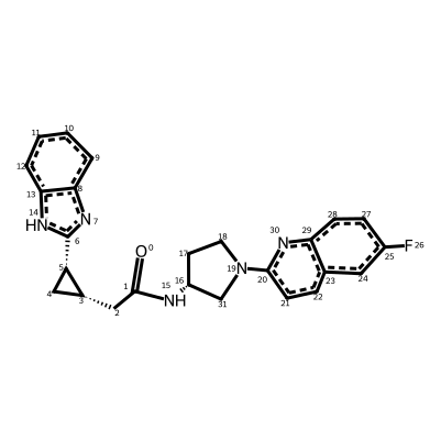 O=C(C[C@@H]1C[C@@H]1c1nc2ccccc2[nH]1)N[C@@H]1CCN(c2ccc3cc(F)ccc3n2)C1